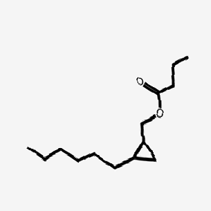 CCCCCCC1CC1COC(=O)CCC